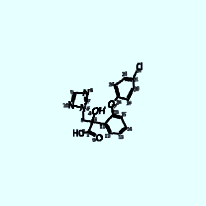 O=C(O)C(O)(Cn1cncn1)c1ccccc1Oc1ccc(Cl)cc1